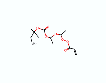 C=CC(=O)OOC(C)OC(C)OC(=O)OC(C)(C)CC(C)(C)C